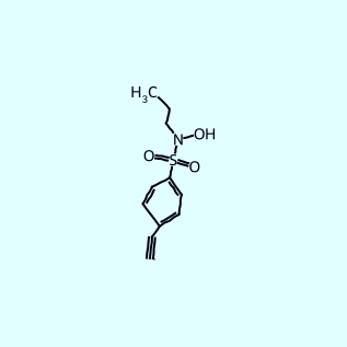 [C]#Cc1ccc(S(=O)(=O)N(O)CCC)cc1